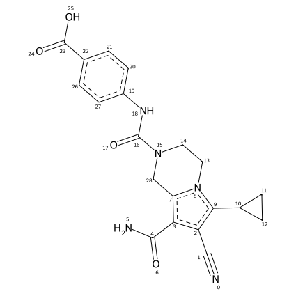 N#Cc1c(C(N)=O)c2n(c1C1CC1)CCN(C(=O)Nc1ccc(C(=O)O)cc1)C2